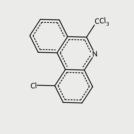 Clc1cccc2nc(C(Cl)(Cl)Cl)c3ccccc3c12